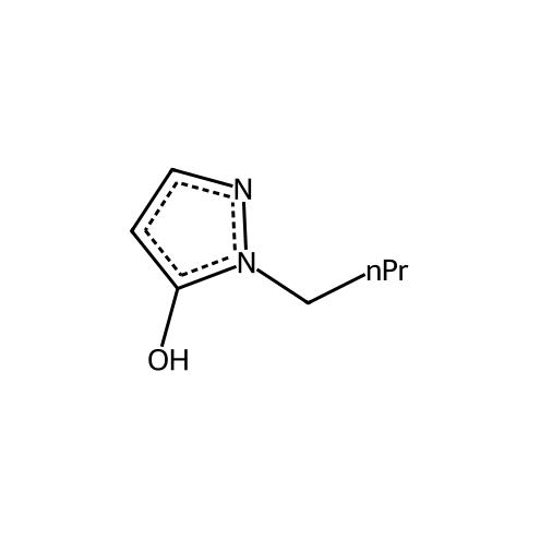 CCCCn1nccc1O